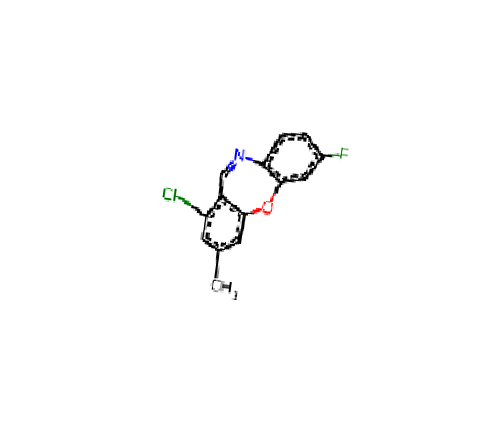 Cc1cc(Cl)c2c(c1)Oc1cc(F)ccc1N=C2